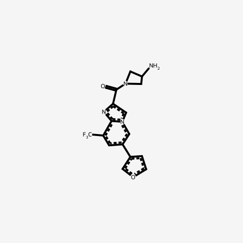 NC1CN(C(=O)c2cn3cc(-c4ccoc4)cc(C(F)(F)F)c3n2)C1